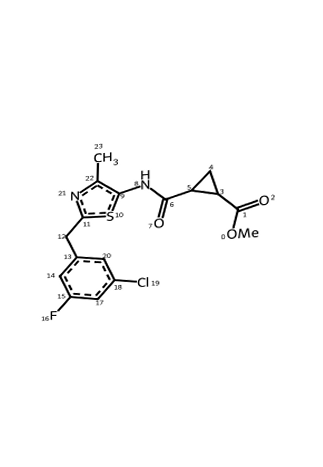 COC(=O)C1CC1C(=O)Nc1sc(Cc2cc(F)cc(Cl)c2)nc1C